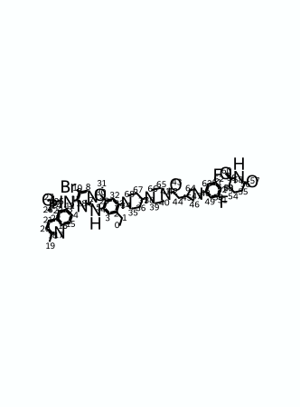 CCc1cc(Nc2ncc(Br)c(Nc3ccc4nc(C)ccc4c3P(C)(C)=O)n2)c(OC)cc1N1CCC(N2CCN(C(=O)CC3CN(c4cc(F)c([C@H]5CCC(=O)NC5=O)c(F)c4)C3)CC2)CC1